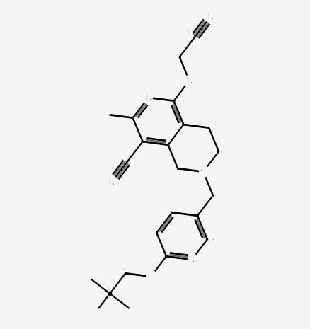 CC(C)(O)COc1ccc(CN2CCc3c(NCC#N)nc(Cl)c(C#N)c3C2)cn1